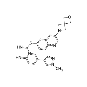 Cn1cc(-c2ccc(=N)n(C(=N)Sc3ccc4ncc(N5CC6(COC6)C5)cc4c3)c2)cn1